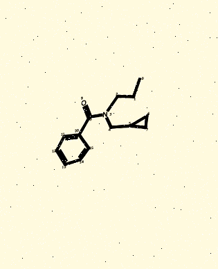 CCCN(CC1CC1)C(=O)c1ccccc1